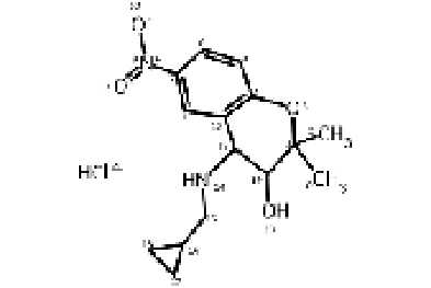 CC1(C)Oc2ccc([N+](=O)[O-])cc2C(NCC2CC2)C1O.Cl